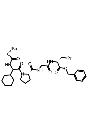 CC(C)C[C@@H](NC(=O)CNC(=O)[C@@H]1CCCN1C(=O)[C@H](NC(=O)OC(C)(C)C)C1CCCCC1)C(=O)OCc1ccccc1